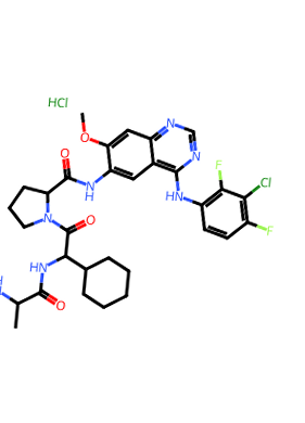 CNC(C)C(=O)NC(C(=O)N1CCCC1C(=O)Nc1cc2c(Nc3ccc(F)c(Cl)c3F)ncnc2cc1OC)C1CCCCC1.Cl